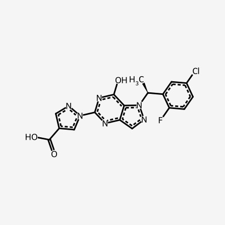 C[C@@H](c1cc(Cl)ccc1F)n1ncc2nc(-n3cc(C(=O)O)cn3)nc(O)c21